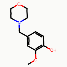 COc1cc(CN2CCOCC2)ccc1O